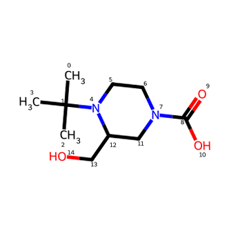 CC(C)(C)N1CCN(C(=O)O)CC1CO